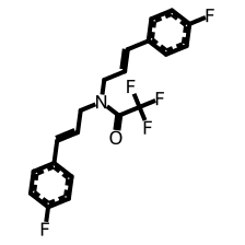 O=C(N(C/C=C/c1ccc(F)cc1)C/C=C/c1ccc(F)cc1)C(F)(F)F